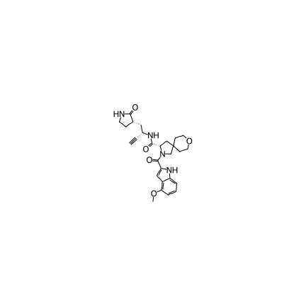 C#C[C@H](C[C@@H]1CCNC1=O)NC(=O)[C@@H]1CC2(CCOCC2)CN1C(=O)c1cc2c(OC)cccc2[nH]1